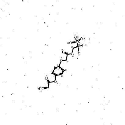 C=CC(=O)Oc1ccc(OCC(=O)OCC(F)(F)S(=O)(=O)O)cc1